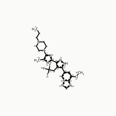 CCCN1CCN(c2sc(-c3n[nH]c(-c4cc(OC)c5ncnn5c4)c3CC(F)(F)F)nc2C)CC1